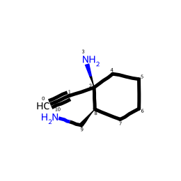 C#C[C@]1(N)CCCC[C@H]1CN